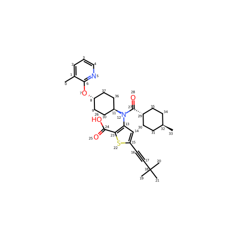 Cc1cccnc1O[C@H]1CC[C@H](N(c2cc(C#CC(C)(C)C)sc2C(=O)O)C(=O)[C@H]2CC[C@H](C)CC2)CC1